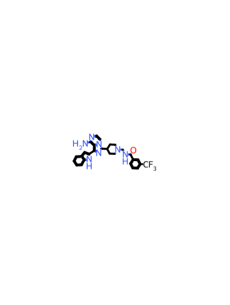 Nc1nccn2c(C3CCN(CNC(=O)c4cccc(C(F)(F)F)c4)CC3)nc(-c3cc4ccccc4[nH]3)c12